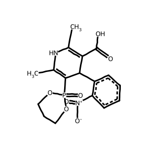 CC1=C(C(=O)O)C(c2ccccc2[N+](=O)[O-])C(P2(=O)OCCCO2)=C(C)N1